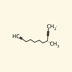 C#CCCCCC[C@@H](C)C#C[CH2]